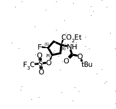 CCOC(=O)[C@]1(NC(=O)OC(C)(C)C)C[C@H](F)[C@H](OS(=O)(=O)C(F)(F)F)C1